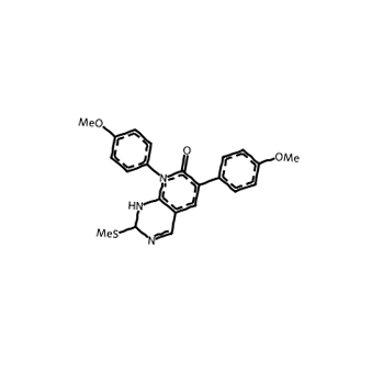 COc1ccc(-c2cc3c(n(-c4ccc(OC)cc4)c2=O)NC(SC)N=C3)cc1